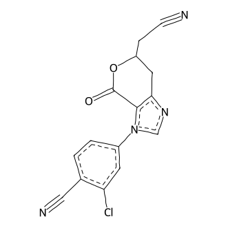 N#CCC1Cc2ncn(-c3ccc(C#N)c(Cl)c3)c2C(=O)O1